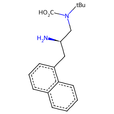 CC(C)(C)N(C[C@H](N)Cc1cccc2ccccc12)C(=O)O